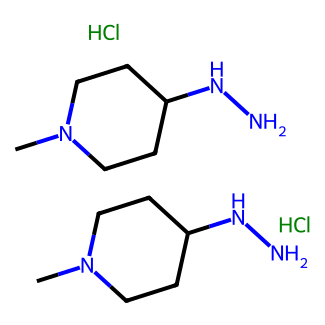 CN1CCC(NN)CC1.CN1CCC(NN)CC1.Cl.Cl